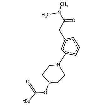 CN(C)C(=O)Cc1cccc(N2CCN(OC(=O)C(C)(C)C)CC2)c1